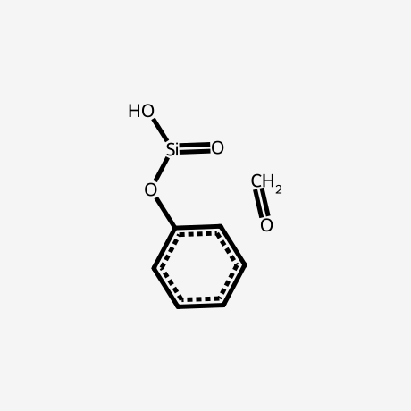 C=O.O=[Si](O)Oc1ccccc1